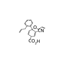 C=CCOC1(c2ccccc2CC=C)C=CC(C(=O)O)C=C1C#N